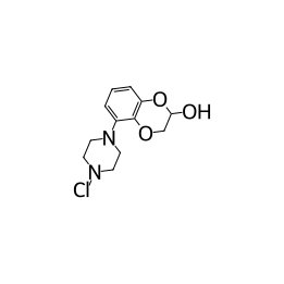 OC1COc2c(cccc2N2CCN(Cl)CC2)O1